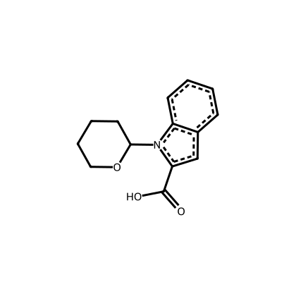 O=C(O)c1cc2ccccc2n1C1CCCCO1